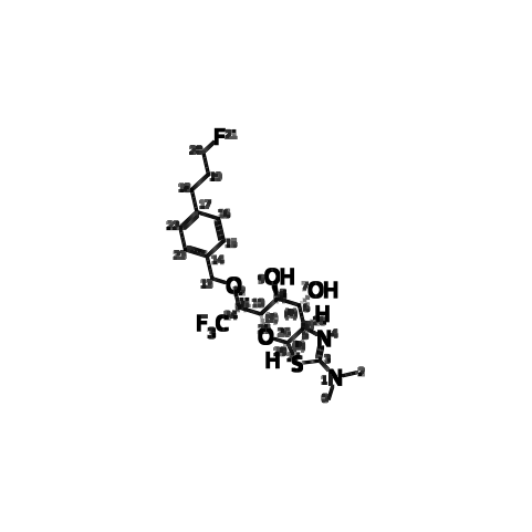 CN(C)C1=N[C@@H]2[C@@H](O)[C@H](O)[C@@H]([C@@H](OCc3ccc(CCCF)cc3)C(F)(F)F)O[C@@H]2S1